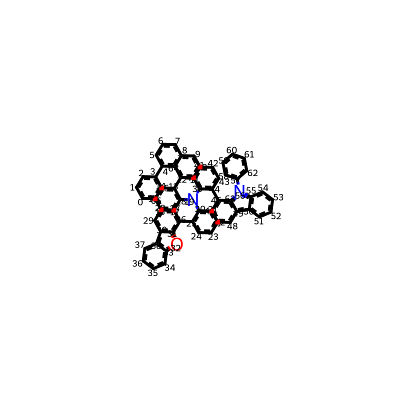 c1ccc(-c2cccc3cccc(-c4ccccc4N(c4ccccc4-c4cccc5c4oc4ccccc45)c4ccccc4-c4cccc5c6ccccc6n(-c6ccccc6)c45)c23)cc1